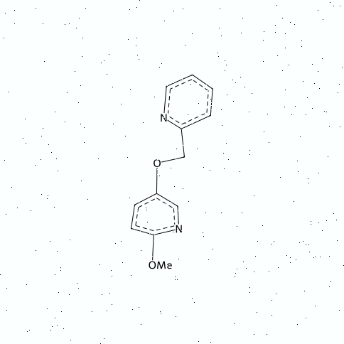 COc1ccc(OCc2ccccn2)cn1